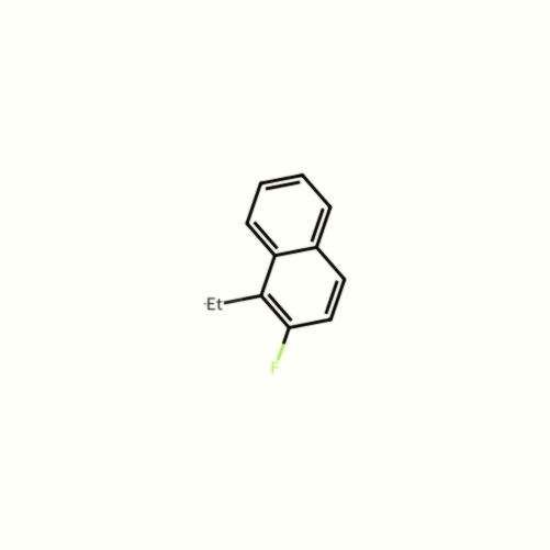 C[CH]c1c(F)ccc2ccccc12